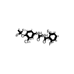 CC(F)(F)Oc1ccc(NC(=O)NC(=O)c2c(F)cccc2F)cc1Cl